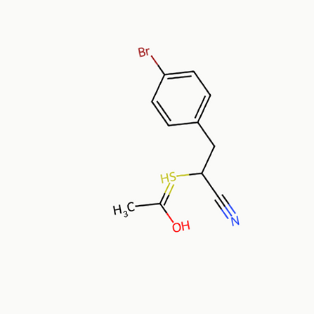 CC(O)=[SH]C(C#N)Cc1ccc(Br)cc1